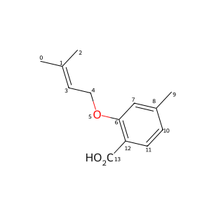 CC(C)=CCOc1cc(C)ccc1C(=O)O